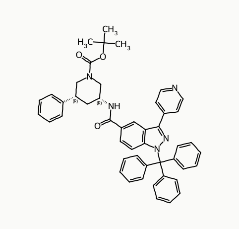 CC(C)(C)OC(=O)N1C[C@H](NC(=O)c2ccc3c(c2)c(-c2ccncc2)nn3C(c2ccccc2)(c2ccccc2)c2ccccc2)C[C@H](c2ccccc2)C1